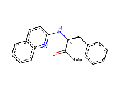 CNC(=O)[C@H](Cc1ccccc1)Nc1ccc2ccccc2n1